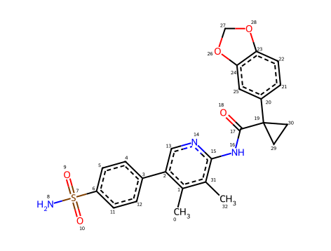 Cc1c(-c2ccc(S(N)(=O)=O)cc2)cnc(NC(=O)C2(c3ccc4c(c3)OCO4)CC2)c1C